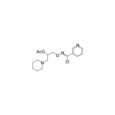 CC(=O)OC(CON=C(Cl)c1cccnc1)CN1CCCCC1